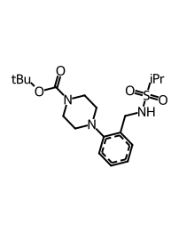 CC(C)S(=O)(=O)NCc1ccccc1N1CCN(C(=O)OC(C)(C)C)CC1